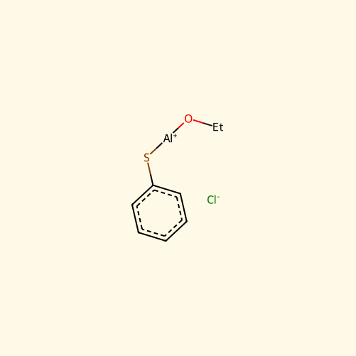 CC[O][Al+][S]c1ccccc1.[Cl-]